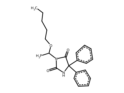 CCCCCOC(P)N1C(=O)NC(c2ccccc2)(c2ccccc2)C1=O